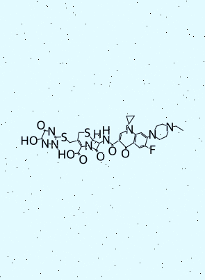 CCN1CCN(c2cc3c(cc2F)c(=O)c(C(=O)NC2C(=O)N4C(C(=O)O)=C(CSc5nc(=O)c(O)nn5C)CS[C@@H]24)cn3C2CC2)CC1